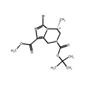 COC(=O)c1nc(Br)n2c1CN(C(=O)OC(C)(C)C)C[C@H]2C